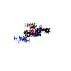 N=C(N)NCCC[C@H](NC(=O)[C@@H]1CC[C@H]2CN(C(=O)CCc3ccccc3)CCN21)C(=O)c1nccs1.O=C(O)C(F)(F)F